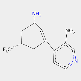 N[C@@H]1C=C(c2ccncc2[N+](=O)[O-])C[C@H](C(F)(F)F)C1